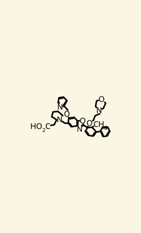 CC1C(c2ccccc2)=CC=CC1(OCCCN1CCOCC1)c1nc2cc(CN3CCCCC3CC(=O)O)c(OCc3ccccn3)cc2o1